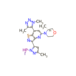 Cc1cc(-c2nsc3c(-c4c(C)nnn4C)cc(N4CCOC[C@H]4C)nc23)n(PI)n1